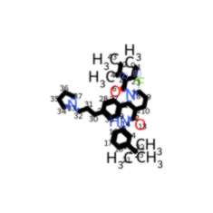 C/C=C(F)\C(C(=O)N1CCCC(C(=O)Nc2cccc(C(C)(C)C)c2)C1c1ccc(CCCN2CCCC2)cc1)=C(\C)CC